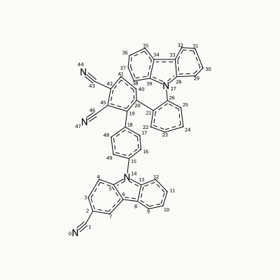 N#Cc1ccc2c(c1)c1ccccc1n2-c1ccc(-c2c(-c3ccccc3-n3c4ccccc4c4ccccc43)ccc(C#N)c2C#N)cc1